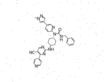 Cn1cc(-c2ccc(N(C(=O)NCc3ccccc3)[C@H]3CC[C@H](Nc4ncc(C#N)c(-c5ccncc5)n4)CC3)nc2)cn1